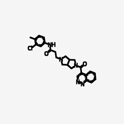 Cc1ccc(NC(=O)CCN2CC3CN(C(=O)c4cnnc5ccccc45)CC3C2)cc1Cl